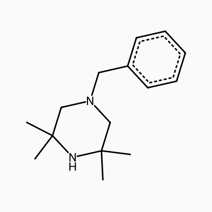 CC1(C)CN(Cc2ccccc2)CC(C)(C)N1